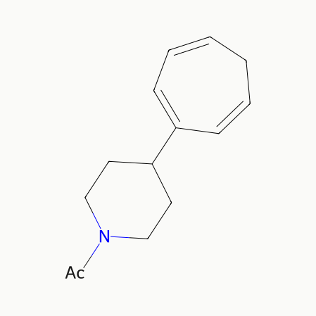 CC(=O)N1CCC(C2=CC=CCC=C2)CC1